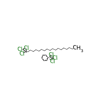 CCCCCCCCCCCCCCCCCC[Si](Cl)(Cl)Cl.Cl[Si](Cl)(Cl)c1ccccc1